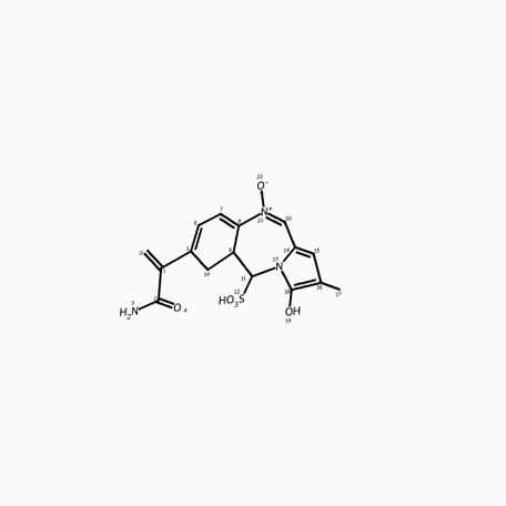 C=C(C(N)=O)C1=CC=C2C(C1)C(S(=O)(=O)O)n1c(cc(C)c1O)C=[N+]2[O-]